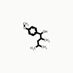 COc1ccc(C(O)C(C)CC(C)C)cc1